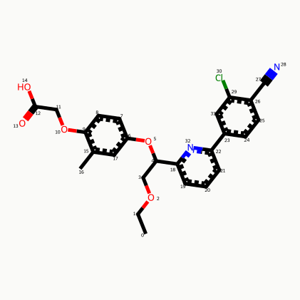 CCOCC(Oc1ccc(OCC(=O)O)c(C)c1)c1cccc(-c2ccc(C#N)c(Cl)c2)n1